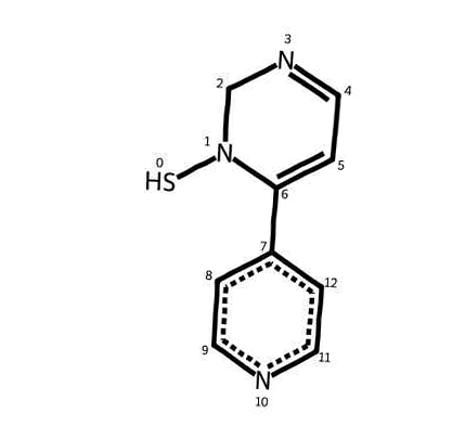 SN1CN=CC=C1c1ccncc1